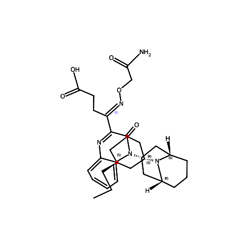 CCC[C@H]1CCC[C@H](N2[C@@H]3CCC[C@H]2C[C@@H](n2c(=O)c(/C(CCC(=O)O)=N/OCC(N)=O)nc4ccccc42)C3)C1